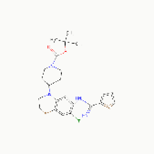 CC(C)(C)OC(=O)N1CCC(N2CCSc3cc(F)c(NC(=N)c4cccs4)cc32)CC1